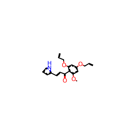 C=CCOc1cc(OC)c(C(=O)C=Cc2ccc[nH]2)c(OCC=C)c1